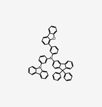 c1ccc(C2(c3ccccc3)c3ccccc3-c3cc(N(c4cccc(-c5cccc6c5oc5ccccc56)c4)c4cccc(-n5c6ccccc6c6ccccc65)c4)ccc32)cc1